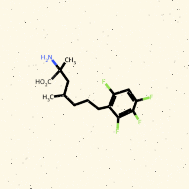 CC(CCCc1c(F)cc(F)c(F)c1F)CC(C)(N)C(=O)O